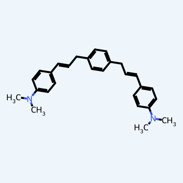 CN(C)c1ccc(C=CCc2ccc(CC=Cc3ccc(N(C)C)cc3)cc2)cc1